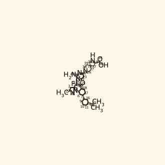 Cc1ccn(-c2cc(-c3cccc(C(C)C)c3)ccc2[C@@H](Oc2cc(N3CCC4(CC3)CNC(C(=O)O)C4)nc(N)n2)C(F)(F)F)n1